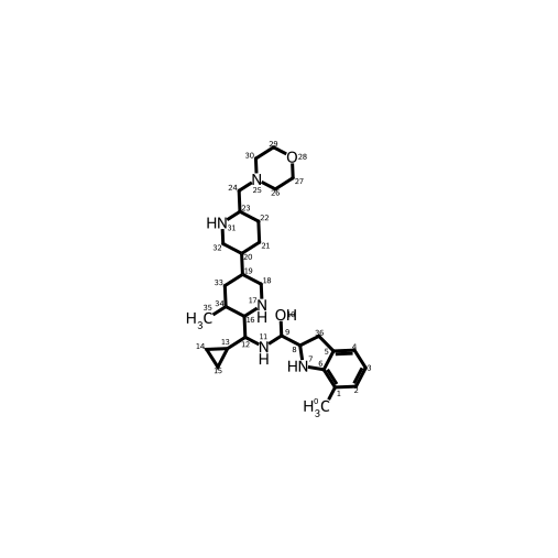 Cc1cccc2c1NC(C(O)NC(C1CC1)C1NCC(C3CCC(CN4CCOCC4)NC3)CC1C)C2